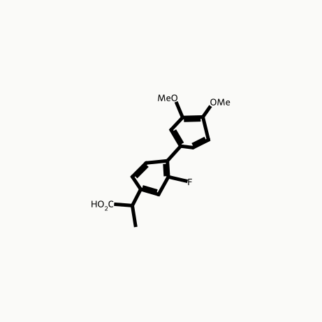 COc1ccc(-c2ccc(C(C)C(=O)O)cc2F)cc1OC